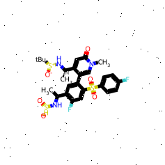 CC(N[SH](=O)=O)c1cc(-c2cn(C)c(=O)cc2[C@H](C)N[S+]([O-])C(C)(C)C)c(S(=O)(=O)c2ccc(F)cc2)cc1F